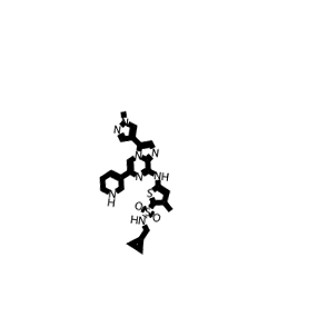 CC1C=C(Nc2nc(C3=CCCNC3)cn3c(-c4cnn(C)c4)cnc23)SC1S(=O)(=O)NCC1CC1